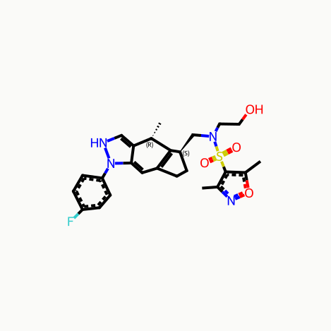 Cc1noc(C)c1S(=O)(=O)N(CCO)C[C@H]1CCC2=C1[C@@H](C)C1=CNN(c3ccc(F)cc3)C1=C2